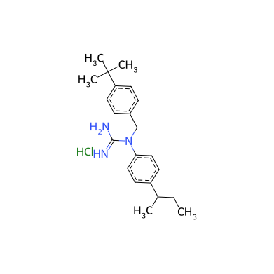 CCC(C)c1ccc(N(Cc2ccc(C(C)(C)C)cc2)C(=N)N)cc1.Cl